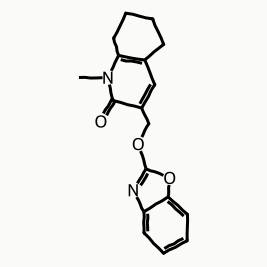 Cn1c2c(cc(COc3nc4ccccc4o3)c1=O)CCCC2